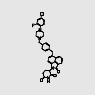 O=C1CCC(N2C(=O)c3cccc4c(Cc5ccc(CN6CCN(c7ccc(Cl)cc7F)CC6)cc5)ccc2c34)C(=O)N1